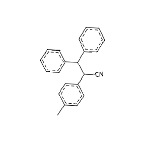 Cc1ccc(C(C#N)C(c2ccccc2)c2ccccc2)cc1